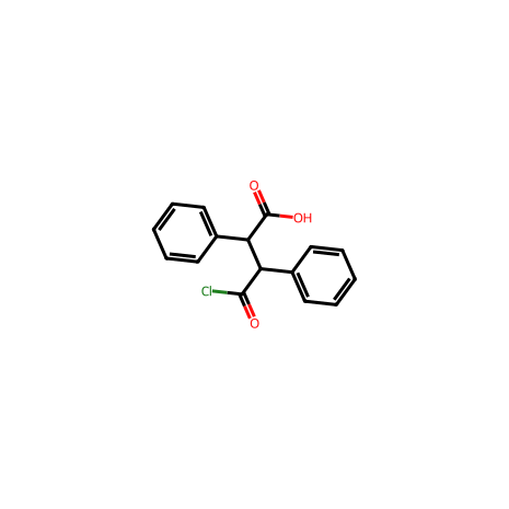 O=C(O)C(c1ccccc1)C(C(=O)Cl)c1ccccc1